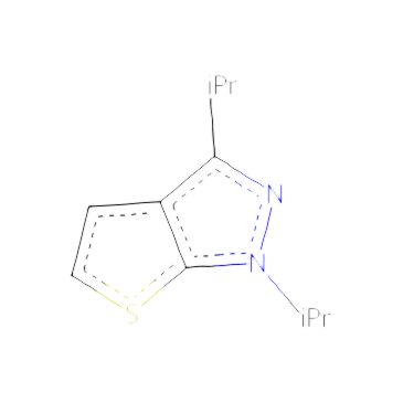 CC(C)c1nn(C(C)C)c2sccc12